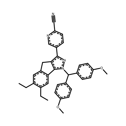 CCc1cc2c(cc1CC)-c1c(c(-c3ccc(C#N)nc3)nn1C(c1ccc(OC)cc1)c1ccc(OC)cc1)C2